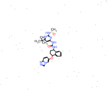 C[S+]([O-])Nc1nc(NC(=O)NC2CCC(Oc3ccc4nncn4c3)c3ccccc32)cc(C(C)(C)C)n1